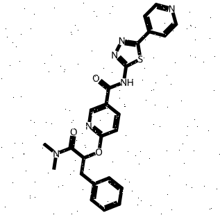 CN(C)C(=O)C(Cc1ccccc1)Oc1ccc(C(=O)Nc2nnc(-c3ccncc3)s2)cn1